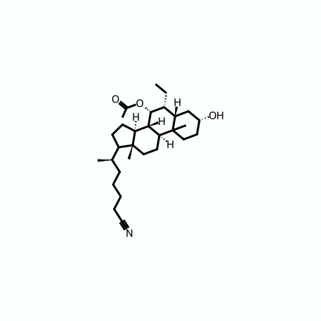 CC[C@H]1[C@@H](OC(C)=O)[C@@H]2[C@H](CC[C@]3(C)C([C@H](C)CCCCC#N)CC[C@@H]23)C2(C)CC[C@@H](O)C[C@@H]12